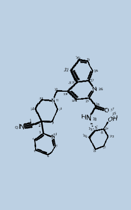 N#CC1(c2ccccn2)CCN(Cc2cc(C(=O)N[C@H]3CCCC[C@@H]3O)nc3ccccc23)CC1